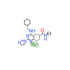 CCNC(=O)C1CCc2nc(-n3ccnc3)nc(NCc3ccccc3)c2C1.Cl.Cl